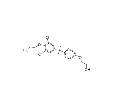 CC(C)(c1ccc(OCCO)cc1)c1cc(Cl)c(OCCO)c(Cl)c1